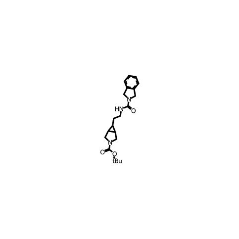 CC(C)(C)OC(=O)N1CC2C(CCNC(=O)N3Cc4ccccc4C3)C2C1